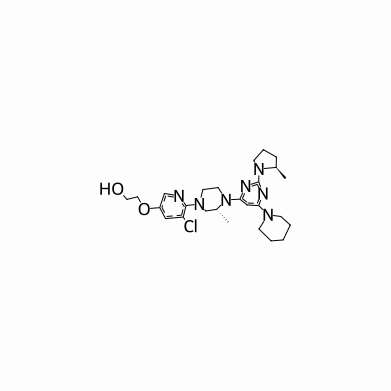 C[C@@H]1CN(c2ncc(OCCO)cc2Cl)CCN1c1cc(N2CCCCC2)nc(N2CCC[C@H]2C)n1